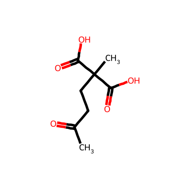 CC(=O)CCC(C)(C(=O)O)C(=O)O